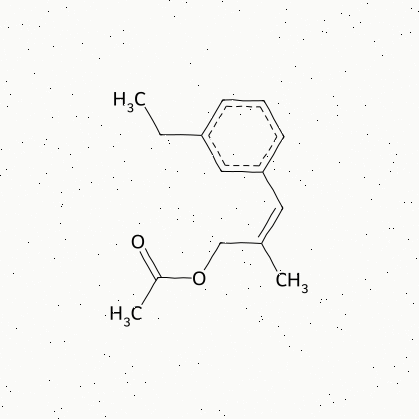 CCc1cccc(C=C(C)COC(C)=O)c1